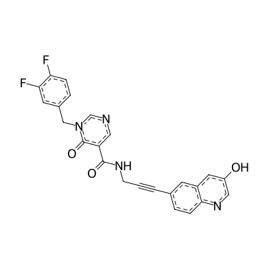 O=C(NCC#Cc1ccc2ncc(O)cc2c1)c1cncn(Cc2ccc(F)c(F)c2)c1=O